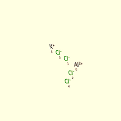 [Al+3].[Cl-].[Cl-].[Cl-].[Cl-].[K+]